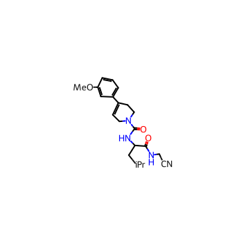 COc1cccc(C2=CCN(C(=O)NC(CC(C)C)C(=O)NCC#N)CC2)c1